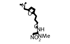 CNC(=C[N+](=O)[O-])NOCCCc1ccc(CN(C)C)o1